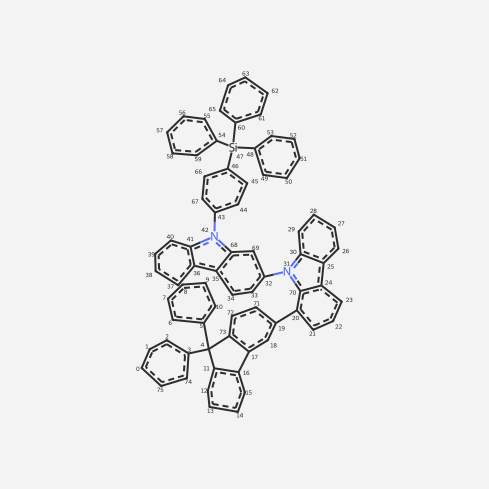 c1ccc(C2(c3ccccc3)c3ccccc3-c3cc(-c4cccc5c6ccccc6n(-c6ccc7c8ccccc8n(-c8ccc([Si](c9ccccc9)(c9ccccc9)c9ccccc9)cc8)c7c6)c45)ccc32)cc1